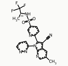 Cc1cnc2c(c1)c(C#N)c(-c1ccc(S(=O)(=O)N[C@@H](C)C(F)(F)F)cn1)n2-c1cccnn1